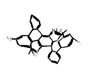 FC(F)(F)c1cc(-c2ccccc2-c2c3nc(I)oc3c(-c3ccccc3-c3cc(C(F)(F)F)cc(C(F)(F)F)c3)c3nc(I)oc23)cc(C(F)(F)F)c1